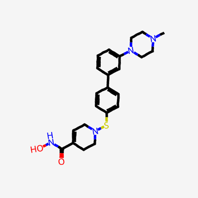 CN1CCN(c2cccc(-c3ccc(SN4CC=C(C(=O)NO)CC4)cc3)c2)CC1